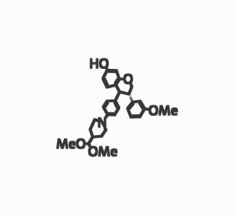 COc1cccc([C@H]2COc3cc(O)ccc3C2c2ccc(N3CCC(C(OC)OC)CC3)cc2)c1